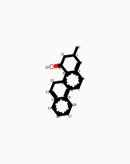 CC1C=c2ccc3c(c2C(=O)C1)CC=c1ccccc1=3